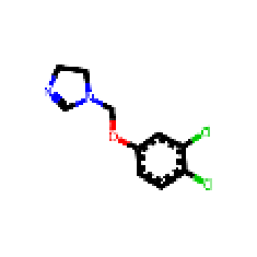 Clc1ccc(OCN2C=NCC2)cc1Cl